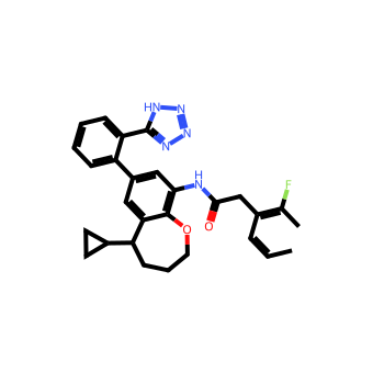 C/C=C\C(CC(=O)Nc1cc(-c2ccccc2-c2nnn[nH]2)cc2c1OCCCC2C1CC1)=C(/C)F